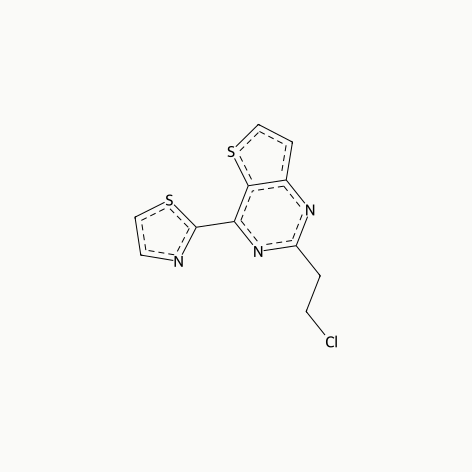 ClCCc1nc(-c2nccs2)c2sccc2n1